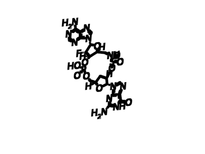 Nc1nc2c(ncn2[C@@H]2O[C@@H]3CO[P@@](=O)(O)O[C@H]4[C@H](F)[C@H](n5cnc6c(N)ncnc65)O[C@@H]4CNS(=O)(=O)O[C@@H]2C3)c(=O)[nH]1